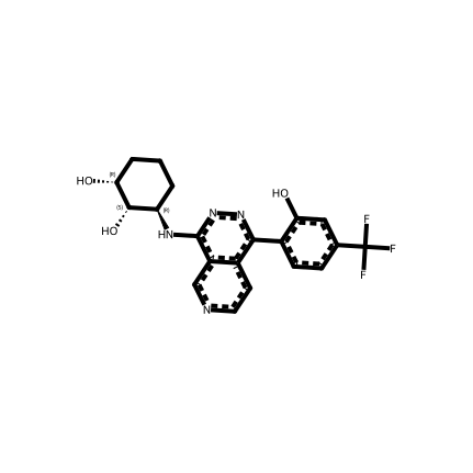 Oc1cc(C(F)(F)F)ccc1-c1nnc(N[C@@H]2CCC[C@@H](O)[C@H]2O)c2cnccc12